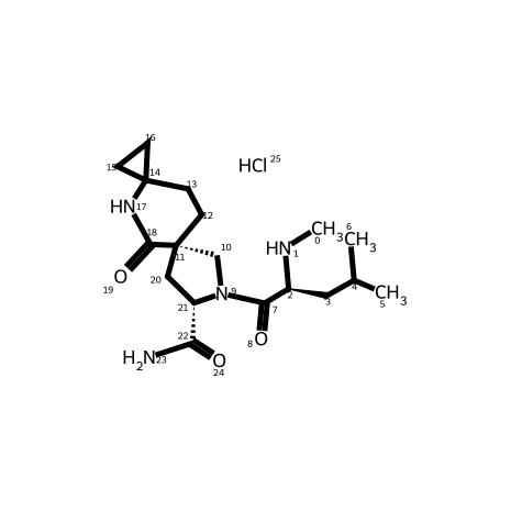 CN[C@@H](CC(C)C)C(=O)N1C[C@]2(CCC3(CC3)NC2=O)C[C@H]1C(N)=O.Cl